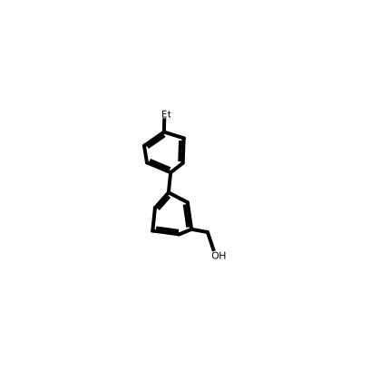 CCc1ccc(-c2cccc(CO)c2)cc1